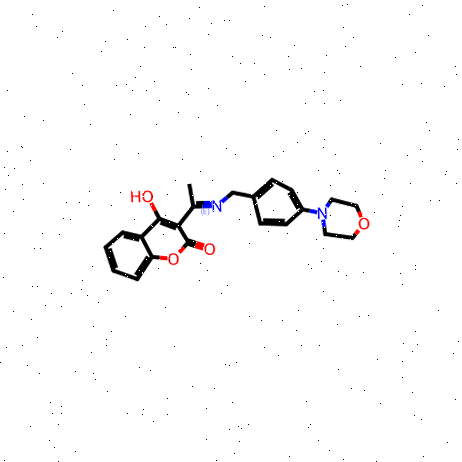 C/C(=N\Cc1ccc(N2CCOCC2)cc1)c1c(O)c2ccccc2oc1=O